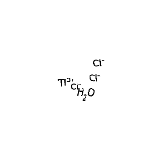 O.[Cl-].[Cl-].[Cl-].[Tl+3]